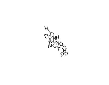 CC(C)(C)OC(=O)N1CC[C@H](Oc2nc3c(Nc4ccc(C#N)c(Cl)c4F)ncnc3cc2F)C1